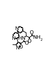 Cc1noc(C(=O)NC(Cc2ccncc2)C(=O)C(N)=O)c1-c1ccccn1